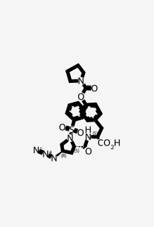 [N-]=[N+]=N[C@@H]1C[C@@H](C(=O)N[C@@H](Cc2ccc(OC(=O)N3CCCC3)cc2)C(=O)O)N(S(=O)(=O)c2ccccc2)C1